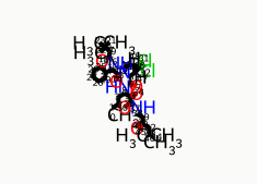 C=CCCC(NC(=O)[C@@H]1[C@@H]2[C@H](CN1C(=O)[C@@H](NC(=O)CC(C)(C)C)C1CCCCC1)C2(Cl)Cl)C(=O)C(=O)NCCC(=O)CC(C)(C)C